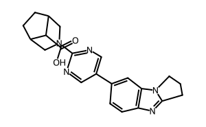 O=C(O)C1C2CCC1CN(c1ncc(-c3ccc4nc5n(c4c3)CCC5)cn1)C2